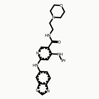 CC(C)Nc1cc(Nc2ccc3ncsc3c2)ncc1C(=O)NCCN1CCOCC1